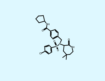 CC1(C)CCNC(=O)C(N(Cc2ccc(C(=O)NC3CCCC3)cc2)S(=O)(=O)c2ccc(Cl)cc2)C1